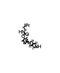 CC(C)CCNC(=O)Oc1cnc(N2CC3=C(CNC3)C2)s1